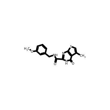 COc1cccc(CNC(=O)c2nc3scc(C)c3c(=O)[nH]2)c1